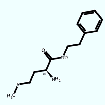 CSCC[C@H](N)C(=O)NCCc1ccccc1